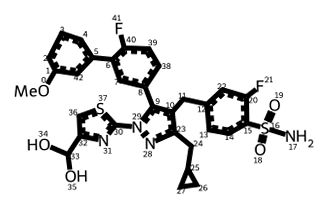 COc1cccc(-c2cc(-c3c(Cc4ccc(S(N)(=O)=O)c(F)c4)c(CC4CC4)nn3-c3nc(C(O)O)cs3)ccc2F)c1